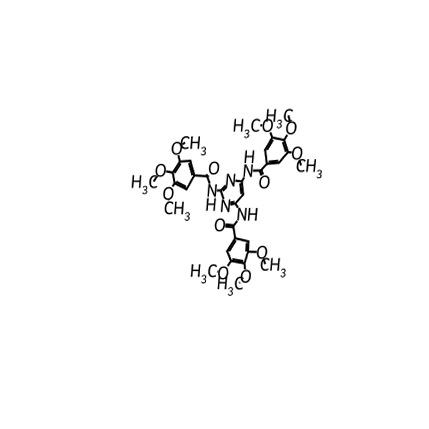 COc1cc(C(=O)Nc2cc(NC(=O)c3cc(OC)c(OC)c(OC)c3)nc(NC(=O)c3cc(OC)c(OC)c(OC)c3)n2)cc(OC)c1OC